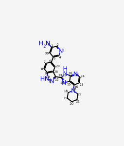 Nc1cncc(-c2ccc3[nH]nc(-c4nc5c(N6CCCCC6)ccnc5[nH]4)c3c2)c1